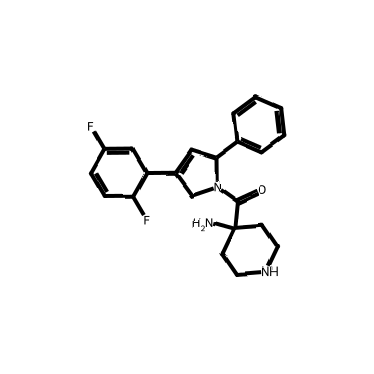 NC1(C(=O)N2CC(C3C=C(F)C=CC3F)=CC2c2ccccc2)CCNCC1